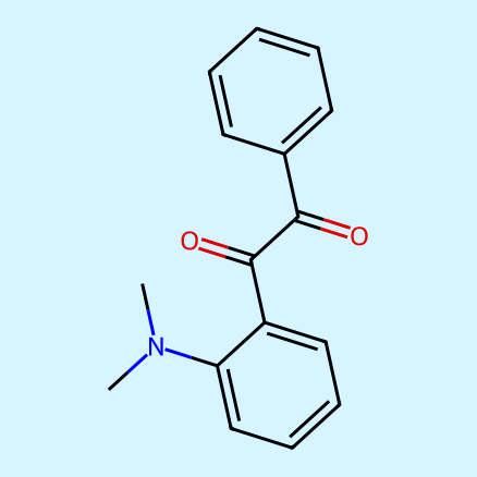 CN(C)c1ccccc1C(=O)C(=O)c1ccccc1